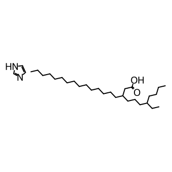 CCCCCCCCCCCCCCCC(CCCC(CC)CCCC)CC(=O)O.c1c[nH]cn1